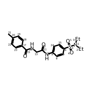 CCN(CC)S(=O)(=O)c1ccc(NC(=O)CNC(=O)c2ccc(C)cc2)cc1